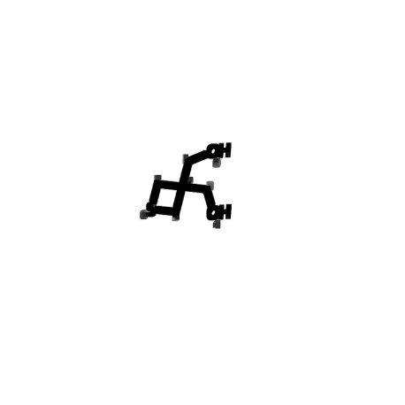 OCC1(CO)CSC1